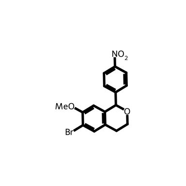 COc1cc2c(cc1Br)CCOC2c1ccc([N+](=O)[O-])cc1